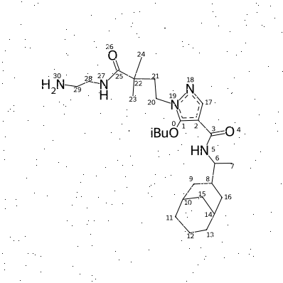 CC(C)COc1c(C(=O)NC(C)C2CC3CCCC(C3)C2)cnn1CCC(C)(C)C(=O)NCCN